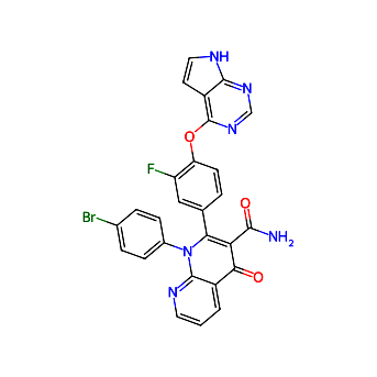 NC(=O)c1c(-c2ccc(Oc3ncnc4[nH]ccc34)c(F)c2)n(-c2ccc(Br)cc2)c2ncccc2c1=O